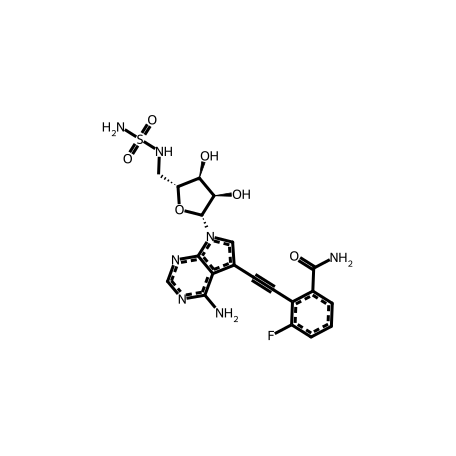 NC(=O)c1cccc(F)c1C#Cc1cn([C@@H]2O[C@H](CNS(N)(=O)=O)[C@@H](O)[C@H]2O)c2ncnc(N)c12